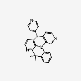 CC1(C)c2ccccc2B2c3cnccc3N(c3ccncc3)c3ccnc1c32